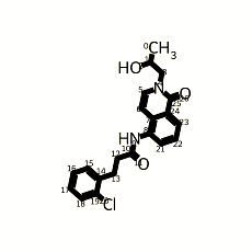 CC(O)Cn1ccc2c(NC(=O)CCc3ccccc3Cl)cccc2c1=O